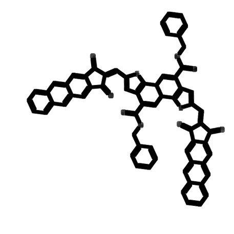 O=C(OCc1ccccc1)C1=CC2c3sc(C=C4C(=O)c5cc6cc7ccccc7cc6cc5C4=O)cc3C(C(=O)OCc3ccccc3)=CC2c2sc(C=C3C(=O)c4cc5cc6ccccc6cc5cc4C3=O)cc21